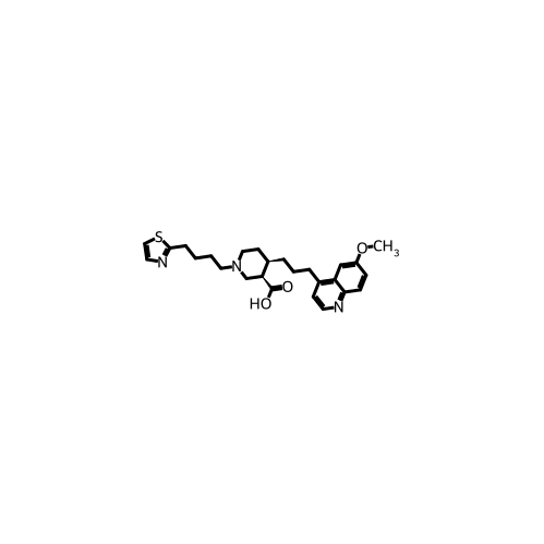 COc1ccc2nccc(CCC[C@@H]3CCN(CCCCc4nccs4)C[C@@H]3C(=O)O)c2c1